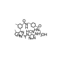 Cc1cc(C(=O)NCc2ccc(C(=O)NCCO)cc2)cc(-c2nc([C@H](C)Nc3ncnc(N)c3C#N)nn3ccc(C)c23)c1